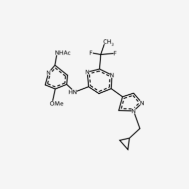 COc1cnc(NC(C)=O)cc1Nc1cc(-c2cnn(CC3CC3)c2)nc(C(C)(F)F)n1